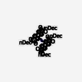 CCCCCCCCCCCN1C(=O)c2ccc3c4ccc5c6c(cc(/C=C/c7cc8c9c(ccc%10c%11ccc%12c%13c(ccc(c7c9%10)c%13%11)C(=O)N(CCCCCCCCCCC)C%12=O)C(=O)N(CCCCCCCCCCC)C8=O)c(c7ccc(c2c37)C1=O)c64)C(=O)N(CCCCCCCCCCC)C5=O